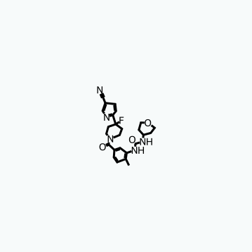 Cc1ccc(C(=O)N2CCC(F)(c3ccc(C#N)cn3)CC2)cc1NC(=O)NC1CCOCC1